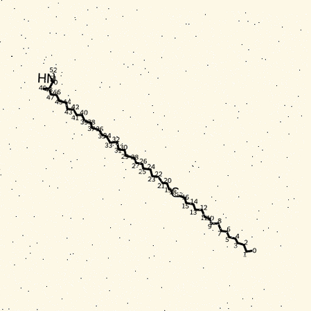 CCCCCCCCCCCCCCCCCCCCCCCCCCCCCCCCCCCCCCCCCCCCCCCCC(C)CNC